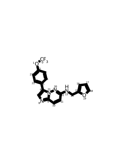 FC(F)(F)Oc1ccc(-c2cnc3ccc(NCc4ccco4)nn23)cc1